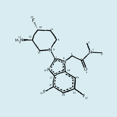 CN(C)C(=O)Cn1c(N2CC[C@@H](F)[C@H](N)C2)nc2c(F)cc(F)cc21